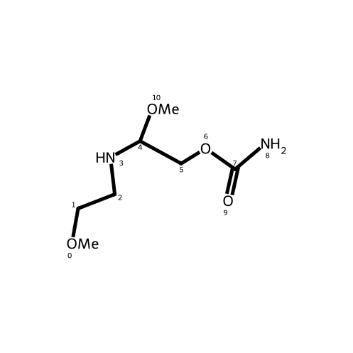 COCCNC(COC(N)=O)OC